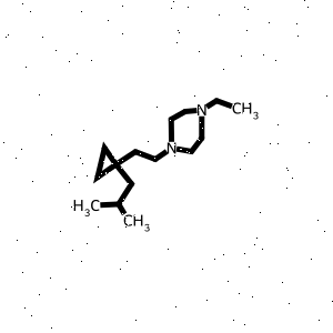 CCN1CCN(CCC2(CC(C)C)CC2)CC1